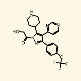 O=C(CO)n1nc(-c2ccc(OC(F)(F)F)cc2)c(-c2ccncn2)c1C1CCNCC1